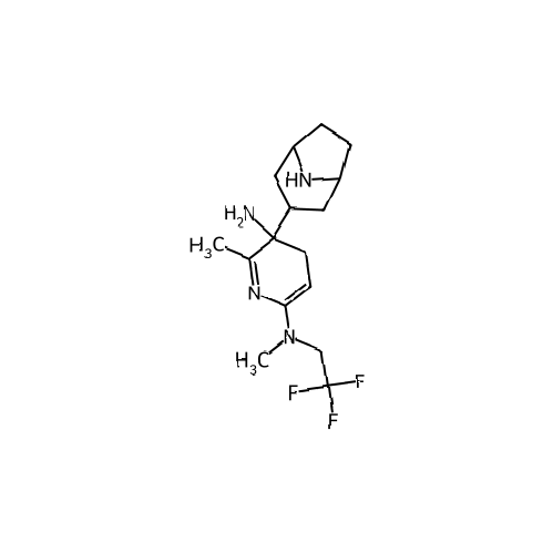 CC1=NC(N(C)CC(F)(F)F)=CCC1(N)C1CC2CCC(C1)N2